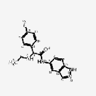 CCNC(C(=O)Nc1ccc2[nH]ncc2c1)c1ccc(F)cc1